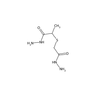 CC(SCC(=O)NN)C(=O)NN